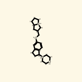 c1cc2c(cc1OCC1CC3CCCN3C1)CCC2N1CCOCC1